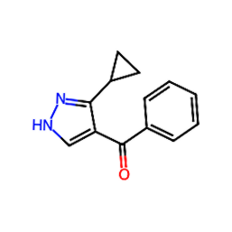 O=C(c1ccccc1)c1c[nH]nc1C1CC1